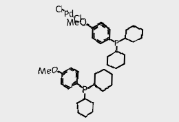 COc1ccc(P(C2CCCCC2)C2CCCCC2)cc1.COc1ccc(P(C2CCCCC2)C2CCCCC2)cc1.[Cl][Pd][Cl]